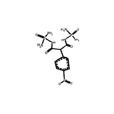 NP(N)(=O)NC(=O)C(C(=O)NP(N)(N)=O)c1ccc([N+](=O)[O-])cc1